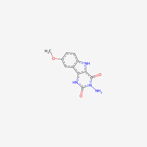 COc1ccc2[nH]c3c(=O)n(N)c(=O)[nH]c3c2c1